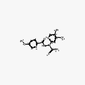 CC(C)Oc1ccc(C(=O)NN(C(N)=S)c2cc(C(F)(F)F)c(C(C)C)cn2)nc1